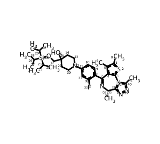 Cc1sc2c(c1C)C(c1ccc(N3CCC(O)(CO[Si](C(C)C)(C(C)C)C(C)C)CC3)cc1F)=N[C@@H](C)c1nnc(C)n1-2